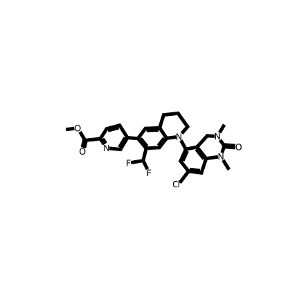 COC(=O)c1ccc(-c2cc3c(cc2C(F)F)N(c2cc(Cl)cc4c2CN(C)C(=O)N4C)CCC3)cn1